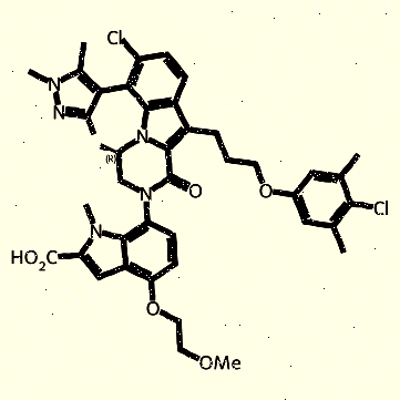 COCCOc1ccc(N2C[C@@H](C)n3c(c(CCCOc4cc(C)c(Cl)c(C)c4)c4ccc(Cl)c(-c5c(C)nn(C)c5C)c43)C2=O)c2c1cc(C(=O)O)n2C